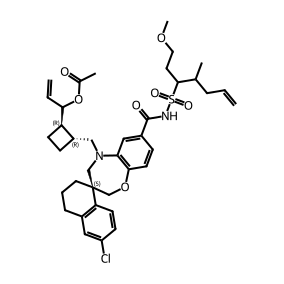 C=CCC(C)C(CCOC)S(=O)(=O)NC(=O)c1ccc2c(c1)N(C[C@@H]1CC[C@H]1C(C=C)OC(C)=O)C[C@@]1(CCCc3cc(Cl)ccc31)CO2